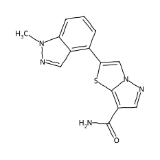 Cn1ncc2c(-c3cn4ncc(C(N)=O)c4s3)cccc21